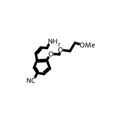 COCCOCOc1ccc(C#N)cc1/C=C\CN